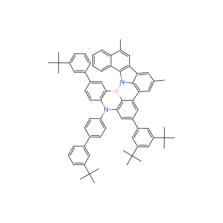 Cc1cc2c3c(c1)c1cc(C)c4ccccc4c1n3B1c3cc(-c4cccc(C(C)(C)C)c4)ccc3N(c3ccc(-c4cccc(C(C)(C)C)c4)cc3)c3cc(-c4cc(C(C)(C)C)cc(C(C)(C)C)c4)cc-2c31